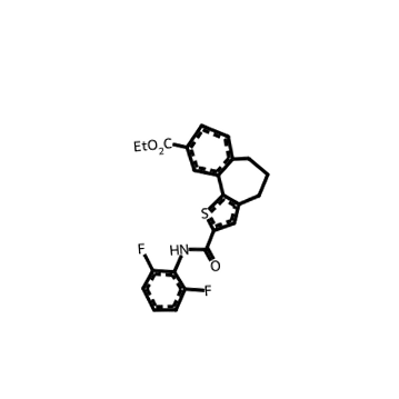 CCOC(=O)c1ccc2c(c1)-c1sc(C(=O)Nc3c(F)cccc3F)cc1CCC2